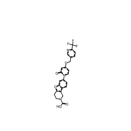 O=C(O)N1CCc2oc3cc(-n4ccc(OCc5ccc(C(F)(F)F)nc5)cc4=O)ccc3c2C1